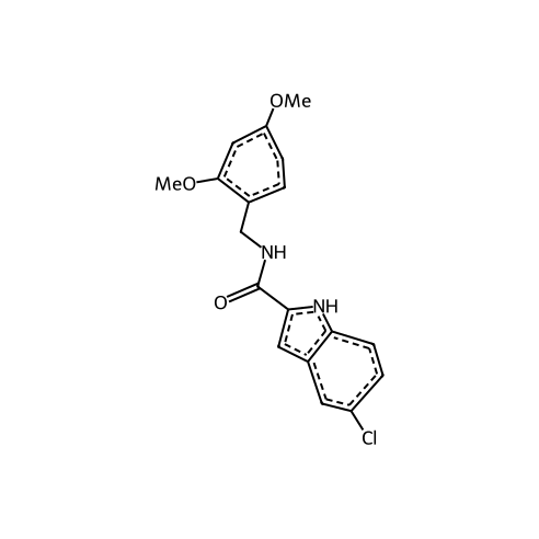 COc1ccc(CNC(=O)c2cc3cc(Cl)ccc3[nH]2)c(OC)c1